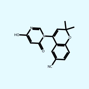 CC1(C)C=C(n2cnc(O)cc2=O)c2cc(C#N)ccc2O1